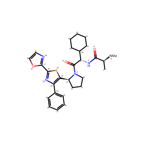 CN[C@@H](C)C(=O)N[C@H](C(=O)N1CCC[C@H]1c1sc(-c2ncco2)nc1-c1ccccc1)C1CCCCC1